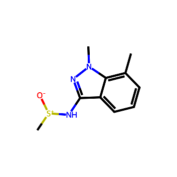 Cc1cccc2c(N[S+](C)[O-])nn(C)c12